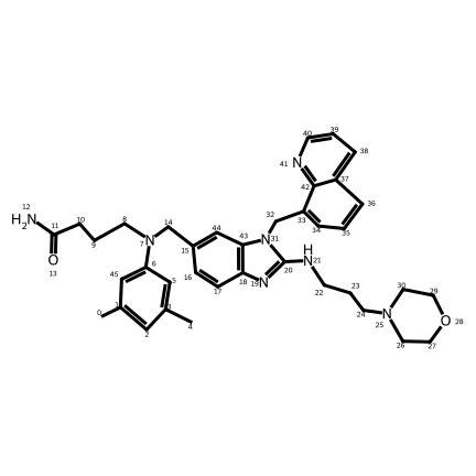 Cc1cc(C)cc(N(CCCC(N)=O)Cc2ccc3nc(NCCCN4CCOCC4)n(Cc4cccc5cccnc45)c3c2)c1